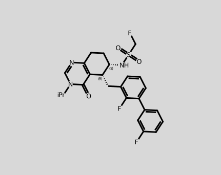 CC(C)n1cnc2c(c1=O)[C@@H](Cc1cccc(-c3cccc(F)c3)c1F)[C@@H](NS(=O)(=O)CF)CC2